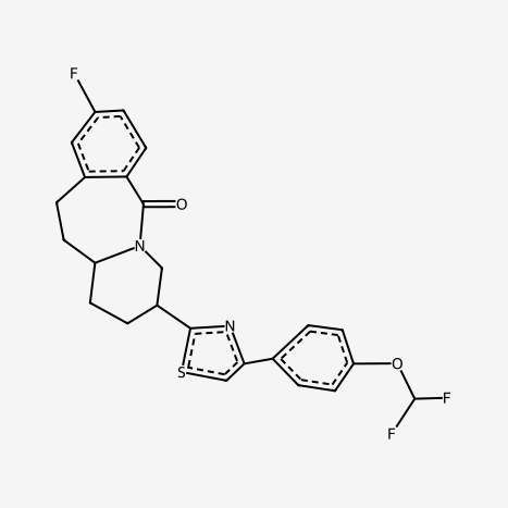 O=C1c2ccc(F)cc2CCC2CCC(c3nc(-c4ccc(OC(F)F)cc4)cs3)CN12